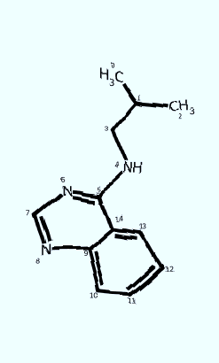 CC(C)CNc1ncnc2ccccc12